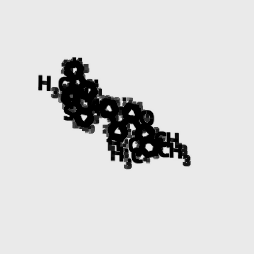 CC1(C)CCC(C)(C)c2cc3c(cc21)oc1cccc(-c2ccccc2-c2cccc(N(c4ccc5c(c4)C(C)(C)c4ccccc4-5)c4cccc5sc6ccccc6c45)c2)c13